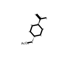 C=C(C)[C@H]1CC[C@H](COC(C)=O)CC1